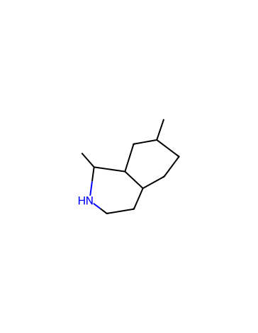 CC1CCC2CCNC(C)C2C1